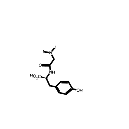 O=C(CN(I)I)N[C@@H](Cc1ccc(O)cc1)C(=O)O